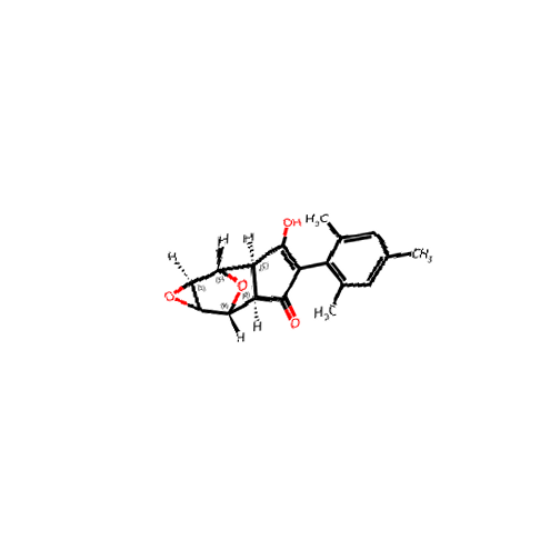 Cc1cc(C)c(C2=C(O)[C@@H]3[C@@H]4O[C@@H](C5O[C@H]54)[C@@H]3C2=O)c(C)c1